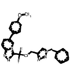 FC(F)(F)Oc1ccc(-c2ccc3nnc(C(F)(F)OCc4cn(Cc5ccccc5)nn4)n3c2)cc1